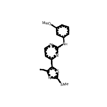 COc1cccc(Nc2nccc(-c3sc(SC)nc3C)n2)c1